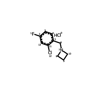 Cl.Fc1ccc(CN2CCC2)c(Cl)c1